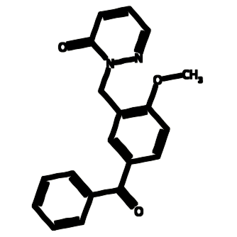 COc1ccc(C(=O)c2ccccc2)cc1Cn1ncccc1=O